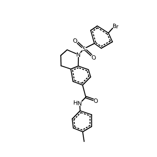 Cc1ccc(NC(=O)c2ccc3c(c2)CCCN3S(=O)(=O)c2ccc(Br)cc2)cc1